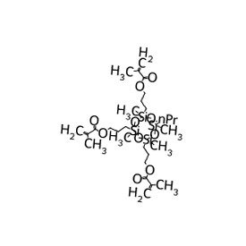 C=C(C)C(=O)OCCC[Si]1(C)O[Si](C)(CCC)O[Si](C)(CCCOC(=O)C(=C)C)O[Si](C)(CCCOC(=O)C(=C)C)O1